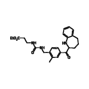 CCOC(=O)CCNC(=O)NCc1ccc(C(=O)C2CCCc3ccccc3N2)cc1C